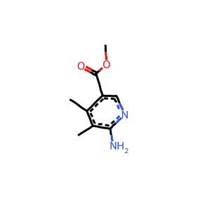 COC(=O)c1cnc(N)c(C)c1C